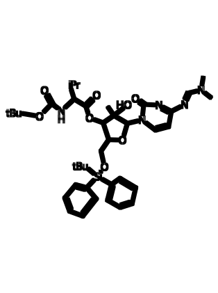 CC(C)C(NC(=O)OC(C)(C)C)C(=O)OC1C(CO[Si](c2ccccc2)(c2ccccc2)C(C)(C)C)OC(n2ccc(/N=C/N(C)C)nc2=O)C1(C)O